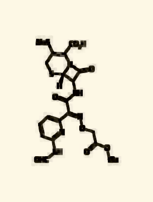 CSC1=C(C(=O)O)N2C(=O)C(NC(=O)C(=NOCC(=O)OC(C)(C)C)c3cccc(NC=O)n3)[C@@H]2SC1